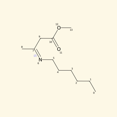 CCCCCC/N=C(/C)CC(=O)OC